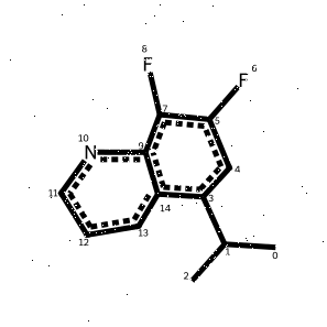 CC(C)c1cc(F)c(F)c2ncccc12